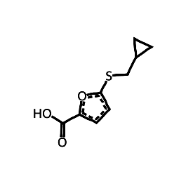 O=C(O)c1ccc(SCC2CC2)o1